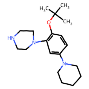 CC(C)(C)Oc1ccc(N2CCCCC2)cc1N1CCNCC1